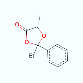 CCC1(c2ccccc2)OC(=O)[C@H](C)O1